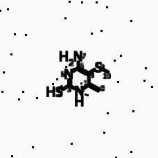 C=C1NC(S)=NC(N)=C1SC